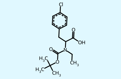 CCN(C(=O)OC(C)(C)C)C(Cc1ccc(Cl)cc1)C(=O)O